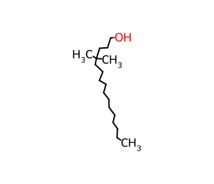 CCCCCCCCCCCCC(C)(C)CCCO